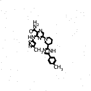 Cc1ccc(-c2cnc(C3CCCN(c4cnc(C(N)=O)c(Nc5cc(C)ns5)n4)C3)[nH]2)cc1